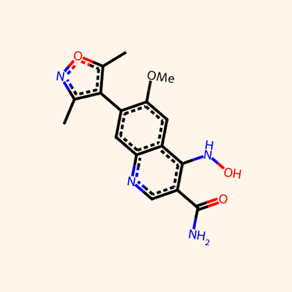 COc1cc2c(NO)c(C(N)=O)cnc2cc1-c1c(C)noc1C